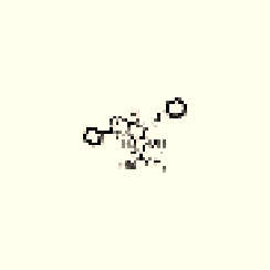 CC(C)(C)[Si](C)(C)OC1[C@H](O)[C@@H](OCc2ccccc2)O[C@@H]2COC(c3ccccc3)O[C@@H]12